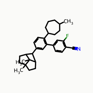 CC1CCCC(c2ccc(C3C4CCC5(C)CCC3C45C)cc2-c2ccc(C#N)c(F)c2)CC1